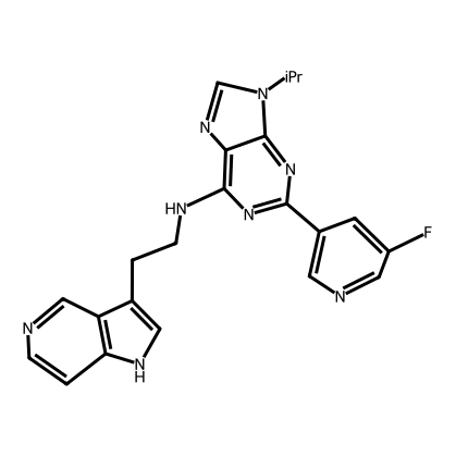 CC(C)n1cnc2c(NCCc3c[nH]c4ccncc34)nc(-c3cncc(F)c3)nc21